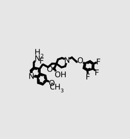 COc1ccc2ncc(CN)c(C(F)CCC3(C(=O)O)CCN(CCOc4cc(F)c(F)c(F)c4)CC3)c2c1